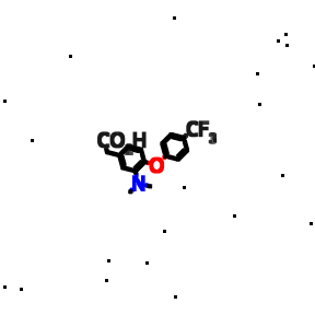 CN(C)c1cc(CC(=O)O)ccc1Oc1ccc(C(F)(F)F)cc1